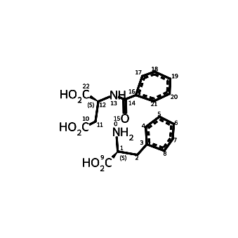 N[C@@H](Cc1ccccc1)C(=O)O.O=C(O)C[C@H](NC(=O)c1ccccc1)C(=O)O